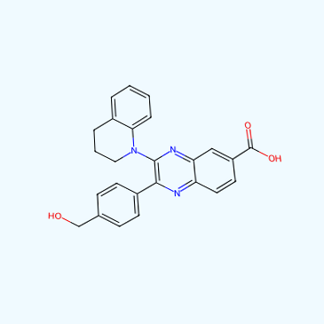 O=C(O)c1ccc2nc(-c3ccc(CO)cc3)c(N3CCCc4ccccc43)nc2c1